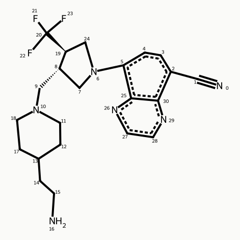 N#Cc1ccc(N2C[C@H](CN3CCC(CCN)CC3)[C@@H](C(F)(F)F)C2)c2nccnc12